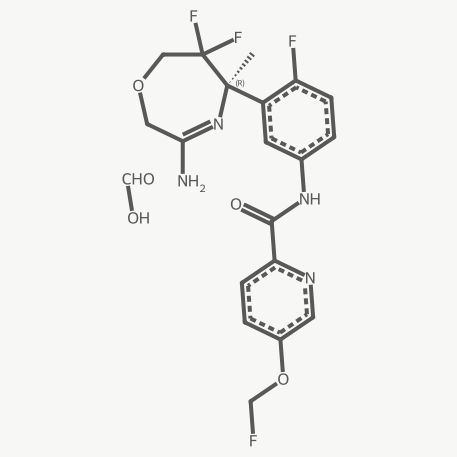 C[C@]1(c2cc(NC(=O)c3ccc(OCF)cn3)ccc2F)N=C(N)COCC1(F)F.O=CO